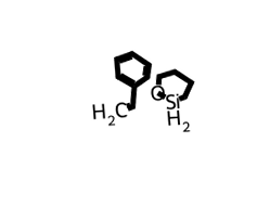 C1CC[SiH2]OC1.C=Cc1ccccc1